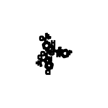 CN1CCc2nc(C(=O)N[C@@H]3C[C@@H](C(=O)N(C)C)CC[C@@H]3NC(=O)C3=Nc4ccc(Cl)cc4C3C(=O)N(C)C)sc2C1